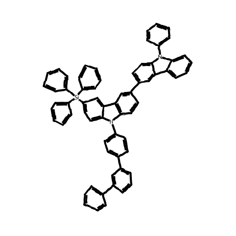 c1ccc(-c2cccc(-c3ccc(-n4c5ccc(-c6ccc7c(c6)c6ccccc6n7-c6ccccc6)cc5c5cc([Si](c6ccccc6)(c6ccccc6)c6ccccc6)ccc54)cc3)c2)cc1